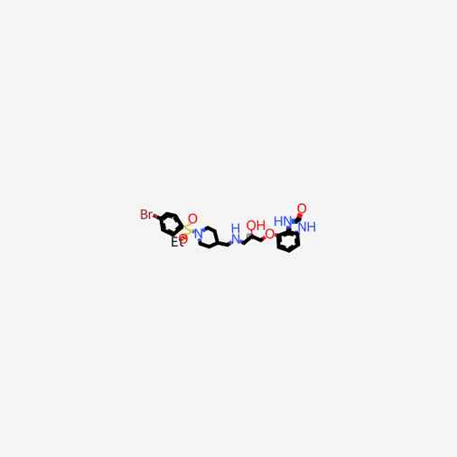 CCc1cc(Br)ccc1S(=O)(=O)N1CCC(CNC[C@H](O)COc2cccc3[nH]c(=O)[nH]c23)CC1